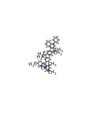 Cc1ccc(N(c2ccc3c(c2)C(C)(C)c2cc4c(cc2-3)C(C)(C)c2cc(-c3ccccc3)c3ccccc3c2-4)c2ccc(C)cc2C)c(C)c1